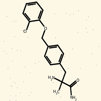 CC(N)(Cc1ccc(COc2ccccc2Cl)cc1)C(N)=O